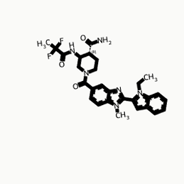 CCn1c(-c2nc3cc(C(=O)N4CC[C@@H](C(N)=O)C(NC(=O)C(C)(F)F)C4)ccc3n2C)cc2ccccc21